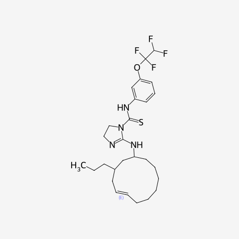 CCCC1C/C=C/CCCCCCC(NC2=NCCN2C(=S)Nc2cccc(OC(F)(F)C(F)F)c2)C1